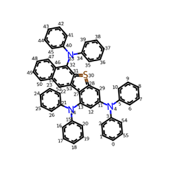 c1ccc(N(c2ccccc2)c2cc(N(c3ccccc3)c3ccccc3)c3c(c2)sc2c(N(c4ccccc4)c4ccccc4)c4ccccc4cc23)cc1